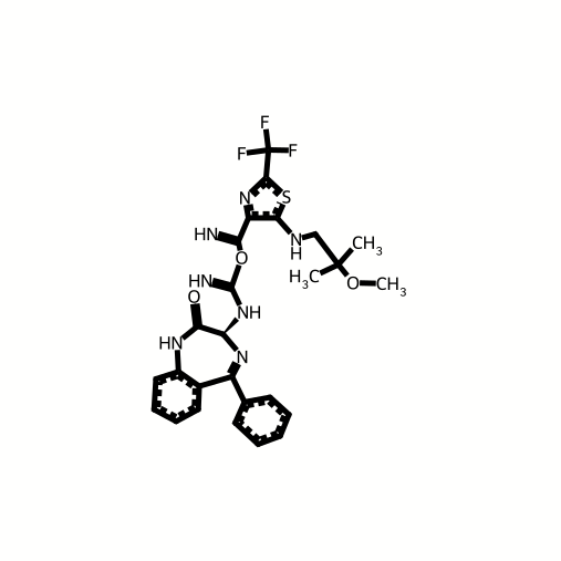 COC(C)(C)CNc1sc(C(F)(F)F)nc1C(=N)OC(=N)N[C@H]1N=C(c2ccccc2)c2ccccc2NC1=O